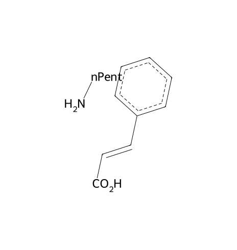 CCCCCN.O=C(O)C=Cc1ccccc1